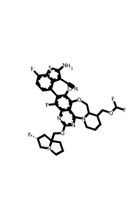 N#Cc1c(N)sc2c(F)ccc(-c3c(Cl)c4c5c(nc(OCC67CCCN6C[C@H](F)C7)nc5c3F)N3CCCC(COC(F)F)C3CO4)c12